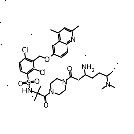 Cc1cc(C)c2cc(OCc3c(Cl)ccc(S(=O)(=O)NC(C)(C)C(=O)N4CCN(C(=O)CC(N)CCC(C)N(C)C)CC4)c3Cl)ccc2n1